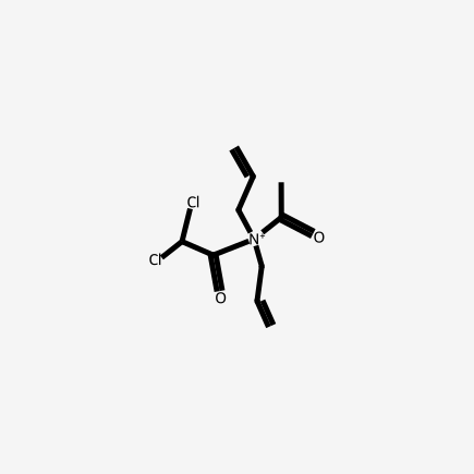 C=CC[N+](CC=C)(C(C)=O)C(=O)C(Cl)Cl